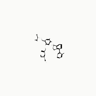 C[C@H](O)[C@H](NCc1cc(Cl)c(O[C@@H]2CCc3c(-c4ccccc4F)cccc32)cc1OCc1cncc(C#N)c1)C(=O)O